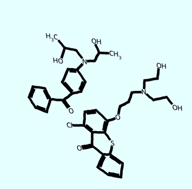 CC(O)CN(CC(C)O)c1ccc(C(=O)c2ccccc2)cc1.O=c1c2ccccc2sc2c(OCCCN(CCO)CCO)ccc(Cl)c12